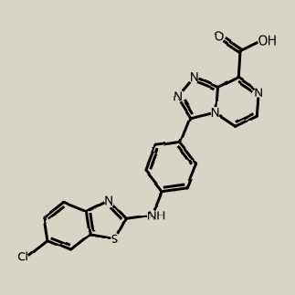 O=C(O)c1nccn2c(-c3ccc(Nc4nc5ccc(Cl)cc5s4)cc3)nnc12